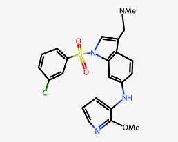 CNCc1cn(S(=O)(=O)c2cccc(Cl)c2)c2cc(Nc3cccnc3OC)ccc12